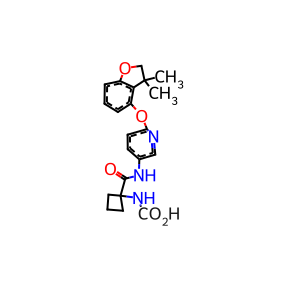 CC1(C)COc2cccc(Oc3ccc(NC(=O)C4(NC(=O)O)CCC4)cn3)c21